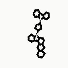 c1ccc2cc3c(ccc4c3c3ccccc3n4-c3ccc(-n4c5ccccc5c5ccccc54)cc3)cc2c1